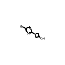 OC1CN(c2ncc(Br)cn2)C1